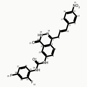 O=C(Nc1ccc2c(CC=Cc3ccc([N+](=O)[O-])cc3)n[nH]c(=O)c2c1)Nc1ccc(F)cc1F